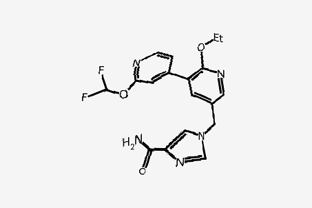 CCOc1ncc(Cn2cnc(C(N)=O)c2)cc1-c1ccnc(OC(F)F)c1